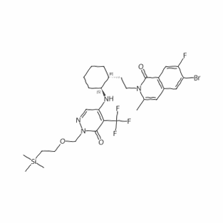 Cc1cc2cc(Br)c(F)cc2c(=O)n1CC[C@H]1CCCC[C@@H]1Nc1cnn(COCC[Si](C)(C)C)c(=O)c1C(F)(F)F